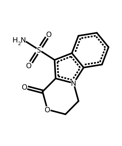 NS(=O)(=O)c1c2n(c3ccccc13)CCOC2=O